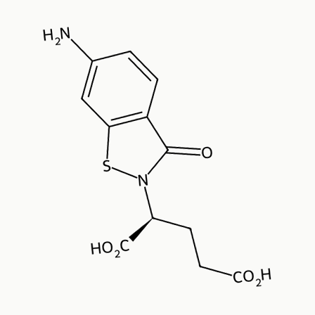 Nc1ccc2c(=O)n([C@@H](CCC(=O)O)C(=O)O)sc2c1